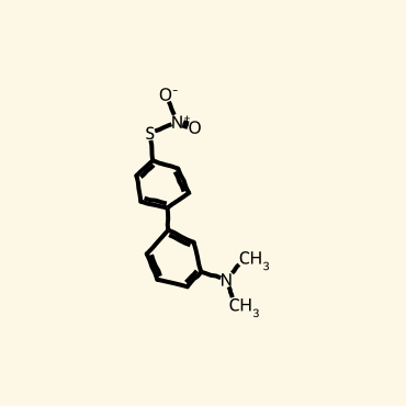 CN(C)c1cccc(-c2ccc(S[N+](=O)[O-])cc2)c1